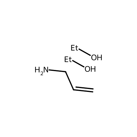 C=CCN.CCO.CCO